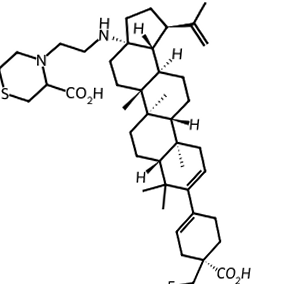 C=C(C)[C@@H]1CC[C@]2(NCCN3CCSCC3C(=O)O)CC[C@]3(C)[C@H](CC[C@@H]4[C@@]5(C)CC=C(C6=CC[C@@](CF)(C(=O)O)CC6)C(C)(C)[C@@H]5CC[C@]43C)[C@@H]12